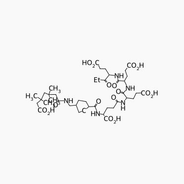 CCC(=O)C(CCC(=O)O)NC(=O)C(CCC(=O)O)NC(=O)C(CCC(=O)O)NC(=O)CCC(NC(=O)C1CCC(CNC(=O)CC(C)(C)CC(C)(C)CC(=O)O)CC1)C(=O)O